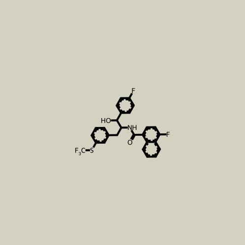 O=C(NC(Cc1cccc(SC(F)(F)F)c1)C(O)c1ccc(F)cc1)c1ccc(F)c2ccccc12